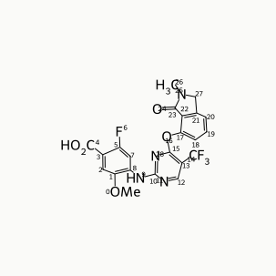 COc1cc(C(=O)O)c(F)cc1Nc1ncc(C(F)(F)F)c(Oc2cccc3c2C(=O)N(C)C3)n1